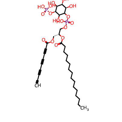 C#CC#CC#CC#CC(=O)OC[C@H](COP(=O)(O)OC1C(O)[C@@H](OP(=O)(O)O)C(O)[C@@H](O)[C@H]1O)OC(=O)CCCCCCCCCCCCCCC